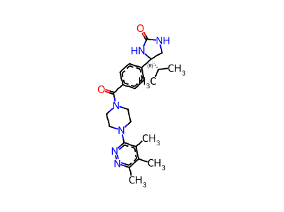 Cc1nnc(N2CCN(C(=O)c3ccc([C@]4(C(C)C)CNC(=O)N4)cc3)CC2)c(C)c1C